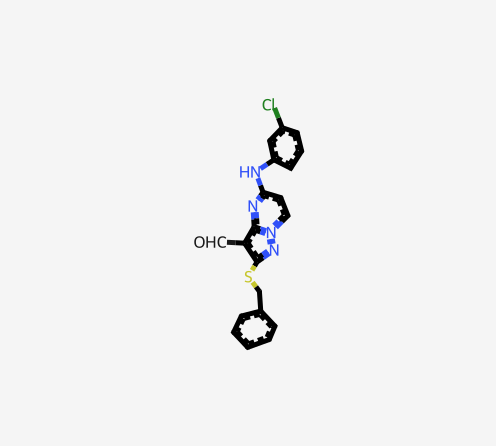 O=Cc1c(SCc2ccccc2)nn2ccc(Nc3cccc(Cl)c3)nc12